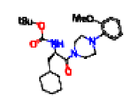 COc1ccccc1N1CCN(C(=O)[C@@H](CC2CCCCC2)NC(=O)OC(C)(C)C)CC1